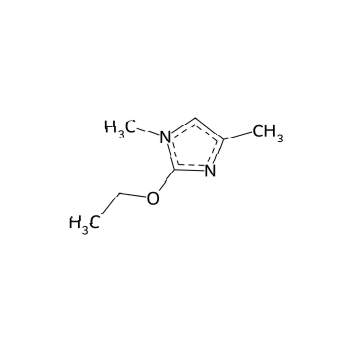 CCOc1nc(C)cn1C